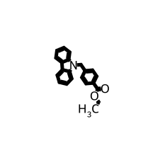 CCOC(=O)c1ccc(Cn2c3ccccc3c3ccccc32)cc1